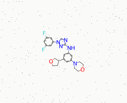 Fc1cc(F)cc(-n2cnc(Nc3cc(C4CCOC4)cc(N4CCOCC4)c3)n2)c1